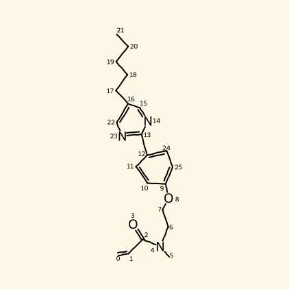 C=CC(=O)N(C)CCOc1ccc(-c2ncc(CCCCC)cn2)cc1